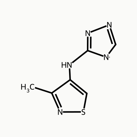 Cc1nscc1NC1=NN=C[N]1